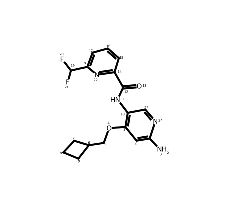 Nc1cc(OCC2CCC2)c(NC(=O)c2cccc(C(F)F)n2)cn1